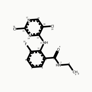 CCNC(=O)c1cccc(F)c1Nc1nc(Cl)ncc1Cl